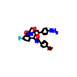 Nc1ccc(CCC2(C3OC(c4ccc(Br)cc4)=NC3c3ccc(F)cc3)NC(=O)CO2)cc1